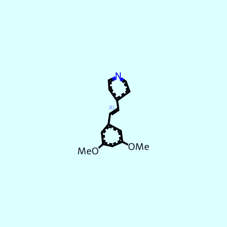 COc1cc(/C=C/c2ccncc2)cc(OC)c1